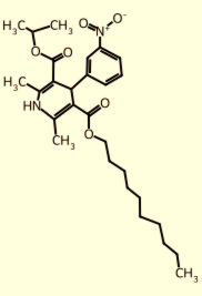 CCCCCCCCCCOC(=O)C1=C(C)NC(C)=C(C(=O)OC(C)C)C1c1cccc([N+](=O)[O-])c1